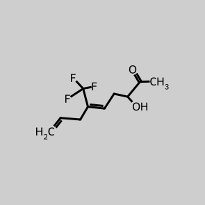 C=CCC(=CCC(O)C(C)=O)C(F)(F)F